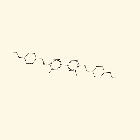 CCC[C@H]1CC[C@H](COc2ccc(-c3ccc(OC[C@H]4CC[C@H](CCC)CC4)c(C)c3)cc2C)CC1